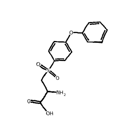 NC(CS(=O)(=O)c1ccc(Oc2ccccc2)cc1)C(=O)O